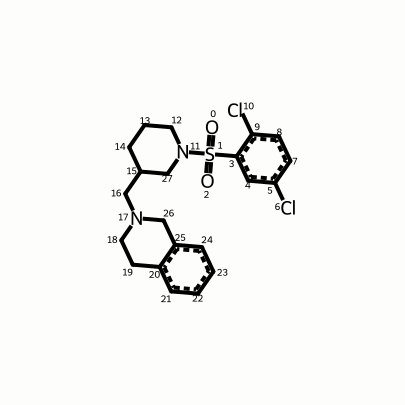 O=S(=O)(c1cc(Cl)ccc1Cl)N1CCCC(CN2CCc3ccccc3C2)C1